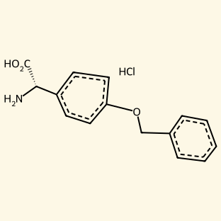 Cl.N[C@H](C(=O)O)c1ccc(OCc2ccccc2)cc1